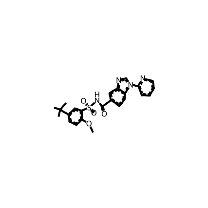 COc1ccc(C(C)(C)C)cc1S(=O)(=O)NC(=O)c1ccc2c(c1)ncn2-c1ccccn1